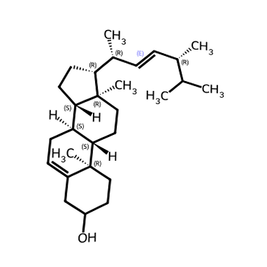 CC(C)[C@@H](C)/C=C/[C@@H](C)[C@H]1CC[C@H]2[C@@H]3CC=C4CC(O)CC[C@]4(C)[C@H]3CC[C@]12C